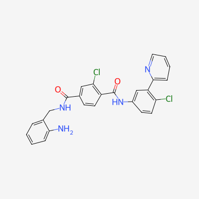 Nc1ccccc1CNC(=O)c1ccc(C(=O)Nc2ccc(Cl)c(-c3ccccn3)c2)c(Cl)c1